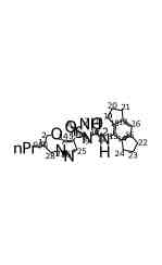 CCC[C@H]1COc2c([S@](N)(=O)=NC(=O)Nc3c4c(cc5c3CCC5)CCC4)cnn2C1